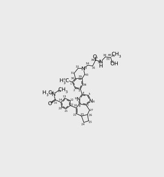 Cc1cc(-c2cnc3c(n2)C(c2ccc(C(=O)N(C)C)cc2)=CC2CCC2C3)cc2c1CCN(CCC(=O)NC[C@H](C)O)C2